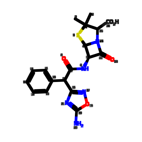 CC1(C)SC2[C@H](NC(=O)C(c3ccccc3)c3noc(N)n3)C(=O)N2C1C(=O)O